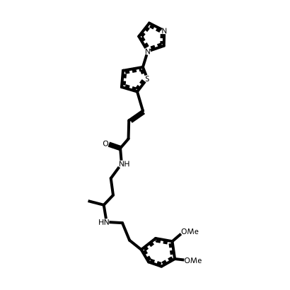 COc1ccc(CCNC(C)CCNC(=O)C/C=C/c2ccc(-n3ccnc3)s2)cc1OC